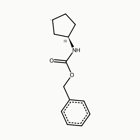 O=C(N[C@H]1C[CH]CC1)OCc1ccccc1